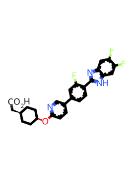 O=C(O)C[C@H]1CC[C@@H](Oc2ccc(-c3ccc(-c4nc5cc(F)c(F)cc5[nH]4)c(F)c3)cn2)CC1